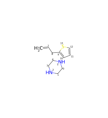 C1CNCCN1.C=CCc1cccs1